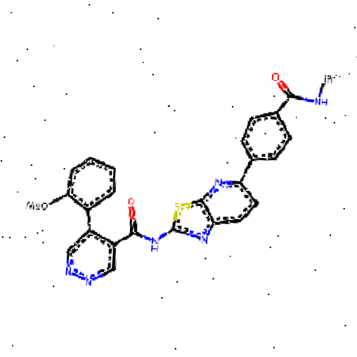 COc1ccccc1-c1cnncc1C(=O)Nc1nc2ccc(-c3ccc(C(=O)NC(C)C)cc3)nc2s1